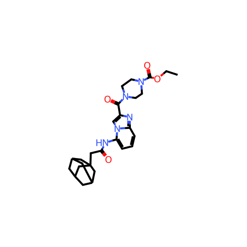 CCOC(=O)N1CCN(C(=O)c2cn3c(NC(=O)CC45CC6CC(CC(C6)C4)C5)cccc3n2)CC1